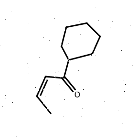 C/C=C\C(=O)C1CCCCC1